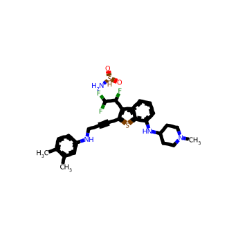 Cc1ccc(NCC#Cc2sc3c(NC4CCN(C)CC4)cccc3c2C(F)C(F)F)cc1C.N[SH](=O)=O